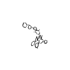 COc1cc(OC)c2c(Cl)nc(-c3cc(C)c(OCCOCc4ccccc4)c(C)c3)nc2c1